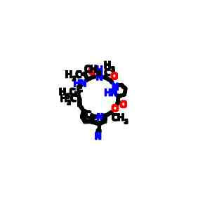 CC1NC(=O)C(C(C)C)NCC(C)(C)/C=C/c2ccc3c(C#N)cc(nc3c2)C(C)OC(=O)C2CCCN(N2)C1=O